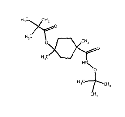 CC(C)(C)ONC(=O)C1(C)CCC(C)(OC(=O)C(C)(C)C)CC1